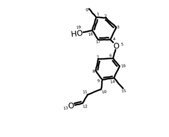 Cc1ccc(Oc2ccc(CCC=O)c(C)c2)cc1O